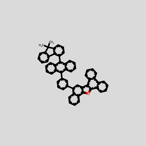 CC1(C)c2ccccc2-c2c(-c3c4ccccc4c(-c4cccc(-c5cc6c(oc7c8ccccc8c8ccccc8c67)c6ccccc56)c4)c4ccccc34)cccc21